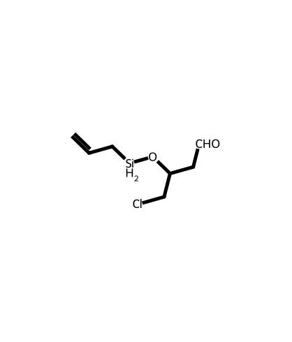 C=CC[SiH2]OC(CCl)CC=O